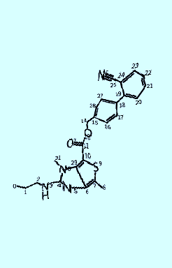 CCCNc1nc2c(C)sc(C(=O)OCc3ccc(-c4ccccc4C#N)cc3)c2n1C